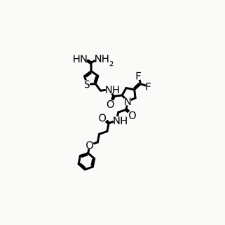 N=C(N)c1csc(CNC(=O)C2CC(=C(F)F)CN2C(=O)CNC(=O)CCCOc2ccccc2)c1